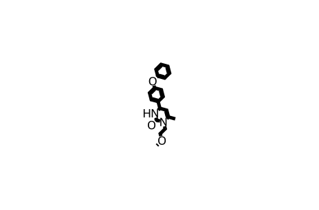 COCCN1C(=O)NC(c2ccc(Oc3ccccc3)cc2)C=C1C